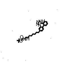 CC(C)(C)OC(=O)NCCCCCCCCc1ccc(-c2ccccc2-c2nnn[nH]2)cc1